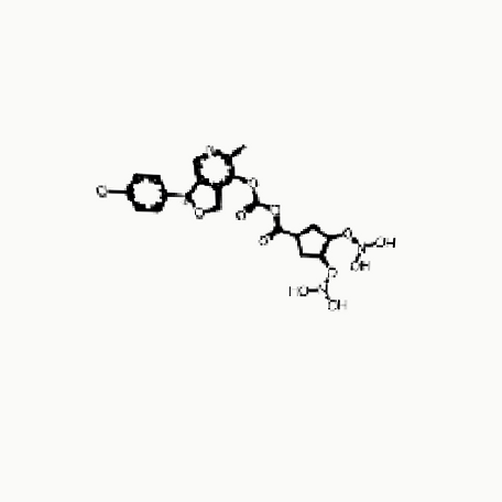 Cc1ncc2c(c1OC(=O)OC(=O)C1CC(ON(O)O)C(ON(O)O)C1)CO[C@H]2c1ccc(Cl)cc1